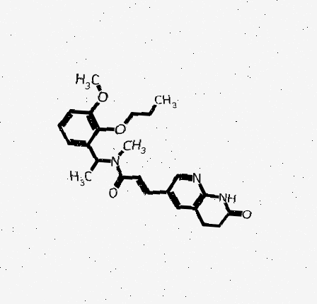 CCCOc1c(OC)cccc1C(C)N(C)C(=O)/C=C/c1cnc2c(c1)CCC(=O)N2